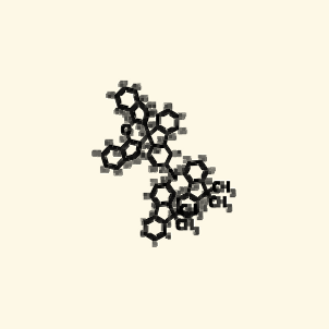 CC1(C)c2ccccc2-c2ccc(N(c3cccc4c3-c3ccccc3C4(C)C)C3C=CC4=C(C3)c3ccccc3C43c4ccc5ccccc5c4Oc4c3ccc3ccccc43)cc21